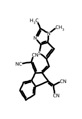 Cc1nc2sc(C=C3C(=C(C#N)C#N)c4ccccc4C3=C(C#N)C#N)cc2n1C